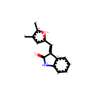 Cc1cc(C=C2C(=O)Nc3ccccc32)oc1C